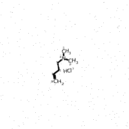 C=CCCN(C)C.Cl